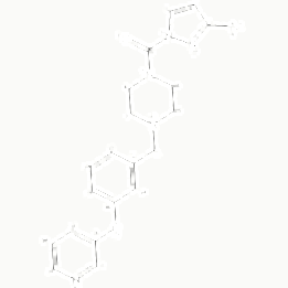 CC(=O)c1ccn(C(=O)N2CCN(Cc3cccc(Oc4cccnc4)c3)CC2)n1